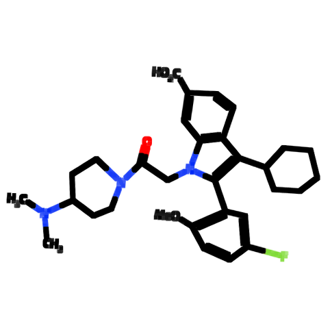 COc1ccc(F)cc1-c1c(C2CCCCC2)c2ccc(C(=O)O)cc2n1CC(=O)N1CCC(N(C)C)CC1